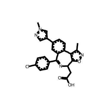 Cc1noc2c1-c1ccc(-c3cnn(C)c3)cc1C(c1ccc(Cl)cc1)=NC2CC(=O)O